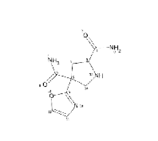 NC(=O)C1CC(C(N)=O)(c2ncco2)CN1